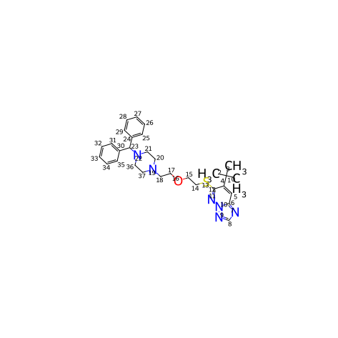 CC(C)(C)c1cc2ncnn2nc1SCCOCCN1CCN(C(c2ccccc2)c2ccccc2)CC1